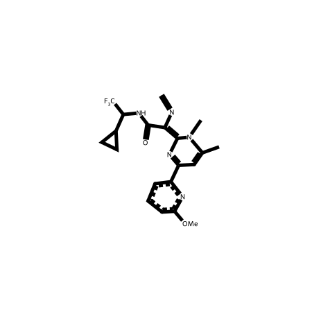 C=N/C(C(=O)NC(C1CC1)C(F)(F)F)=C1/N=C(c2cccc(OC)n2)C=C(C)N1C